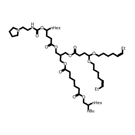 CC/C=C\CCCCOC(CCC(=O)OCC(COC(=O)CCCCCC(=O)OCC(CCCC)CCCCCC)COC(=O)CCC(CCCCCC)OC(=O)NCCN1CCCC1)OCCCC/C=C\CC